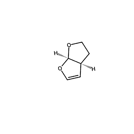 C1=C[C@@H]2CCO[C@@H]2O1